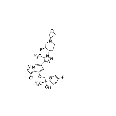 Cc1c(-c2cc(OC[C@@](C)(O)c3ccc(F)cn3)c3c(Cl)cnn3c2)nnn1[C@H]1CCN(C2COC2)C[C@@H]1F